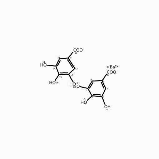 O=C([O-])c1cc(O)c(O)c(O)c1.O=C([O-])c1cc(O)c(O)c(O)c1.[Ba+2]